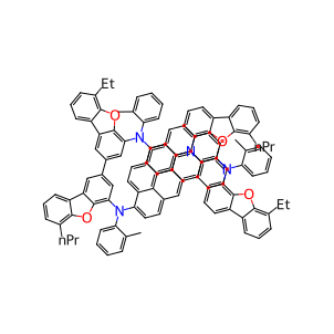 CCCc1cccc2c1oc1c(N(c3ccccc3C)c3ccc4ccc5c(N(c6ccccc6C)c6cc(-c7cc(N(c8ccccc8C)c8ccc9ccc%10c(N(c%11ccccc%11C)c%11cccc%12c%11oc%11c(CC)cccc%11%12)ccc%11ccc8c9c%11%10)c8oc9c(CC)cccc9c8c7)cc7c6oc6c(CCC)cccc67)ccc6ccc3c4c65)cccc12